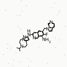 CC(C)N1CCc2cc(Nc3cc4cc(Cn5ccc6ccncc65)c(F)c(N)c4cn3)nn2CC1